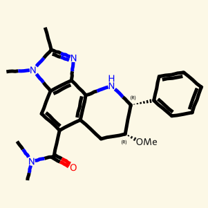 CO[C@@H]1Cc2c(C(=O)N(C)C)cc3c(nc(C)n3C)c2N[C@@H]1c1ccccc1